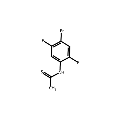 CC(=S)Nc1cc(F)c(Br)cc1F